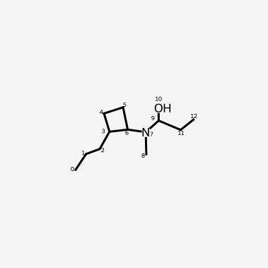 CCCC1CCC1N(C)C(O)CC